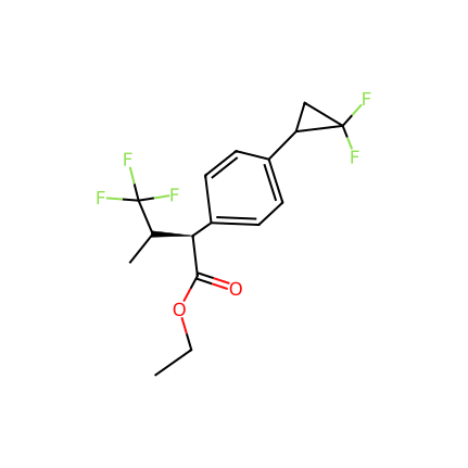 CCOC(=O)[C@H](c1ccc(C2CC2(F)F)cc1)C(C)C(F)(F)F